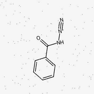 N#[N+]NC(=O)c1ccccc1